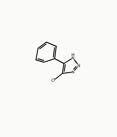 Clc1nn[nH]c1-c1ccccc1